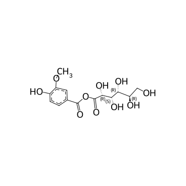 COc1cc(C(=O)OC(=O)[C@H](O)[C@@H](O)[C@H](O)[C@H](O)CO)ccc1O